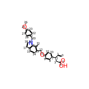 C=C[C@@H](CC(=O)O)c1ccc(OCc2ccc3ccn(Cc4ccc(OC)cc4)c3c2C)cc1